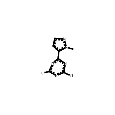 Cn1nccc1-c1nc(Cl)nc(Cl)n1